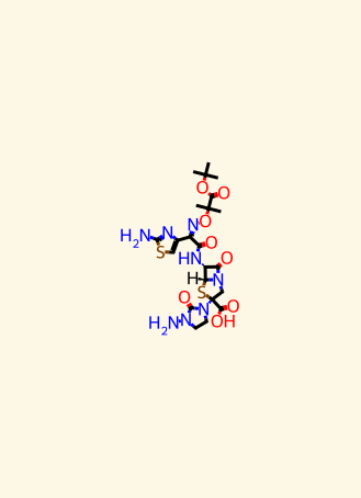 CC(C)(C)OC(=O)C(C)(C)O/N=C(\C(=O)N[C@@H]1C(=O)N2C[C@@](C(=O)O)(N3CCN(N)C3=O)S[C@H]12)c1csc(N)n1